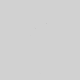 N#Cc1ccc(CS(=O)(=O)NC(=O)C2(c3ccc(F)cc3)CCC2)cc1